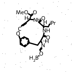 BOC=N[C@H]1Cc2ccc(cc2)OC/C=C/[C@@H](C(=O)OC)NC(=O)[C@H](CC(C)C)NC1=O